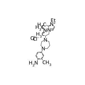 CC[N+]1=C(C)[N+](CCN2CCCN(c3ccc(N)c(C)c3)CC2)(N(C)C)C=C1.[Cl-].[Cl-]